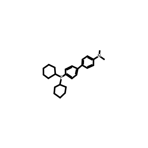 CN(C)c1ccc(-c2ccc(P(C3CCCCC3)C3CCCCC3)cc2)cc1